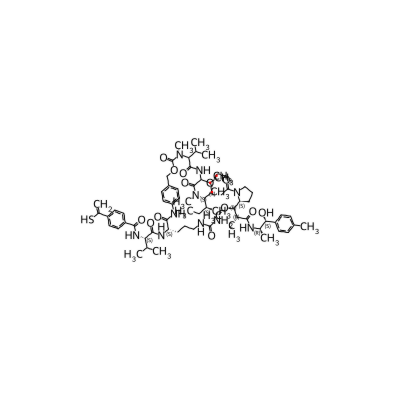 C=C(S)c1ccc(C(=O)N[C@H](C(=O)N[C@@H](CCCNC(N)=O)C(=O)Nc2ccc(COC(=O)N(C)C(C(=O)NC(C(=O)N(C)[C@@H]([C@@H](C)CC)[C@@H](CC(=O)N3CCC[C@H]3[C@H](OC)[C@@H](C)C(=O)N[C@H](C)[C@@H](O)c3ccc(C)cc3)OC)C(C)C)C(C)C)cc2)C(C)C)cc1